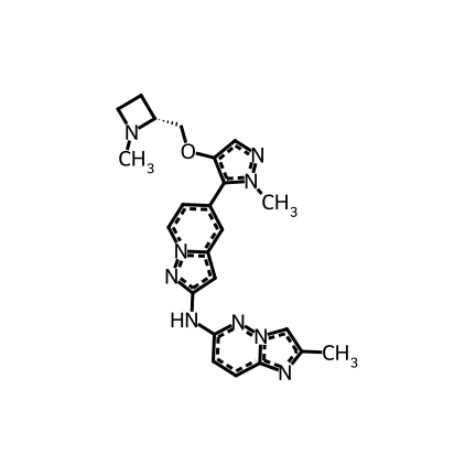 Cc1cn2nc(Nc3cc4cc(-c5c(OC[C@H]6CCN6C)cnn5C)ccn4n3)ccc2n1